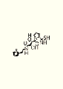 N=C(S)[C@H]1CCCN1C(=O)[C@H](O)[C@@H](O)C(=O)NCCc1cccs1